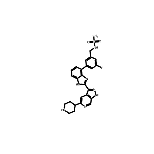 CS(=O)(=O)NCc1cc(F)cc(-c2cccc3[nH]c(-c4n[nH]c5cnc(C6CCNCC6)cc45)nc23)c1